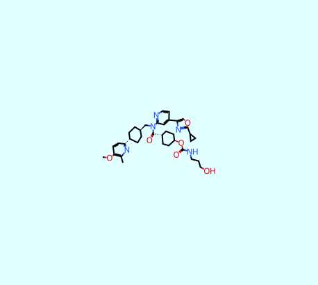 COc1ccc([C@H]2CC[C@H](CN(c3cc(-c4coc(C5CC5)n4)ccn3)C(=O)[C@H]3CC[C@H](OC(=O)NCCCO)CC3)CC2)nc1C